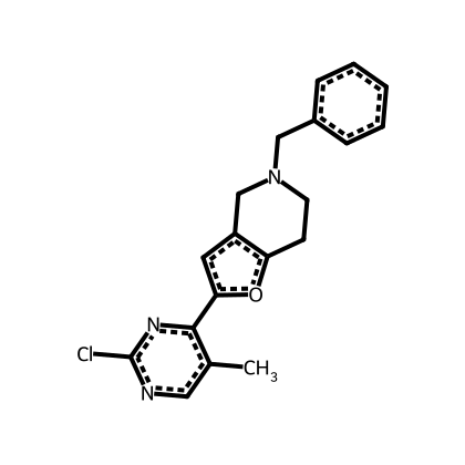 Cc1cnc(Cl)nc1-c1cc2c(o1)CCN(Cc1ccccc1)C2